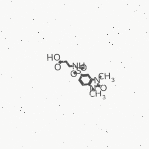 Cn1c(=O)n(C)c2cc(S(=O)(=O)NCCC(=O)O)ccc21